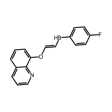 Fc1ccc(BC=COc2cccc3cccnc23)cc1